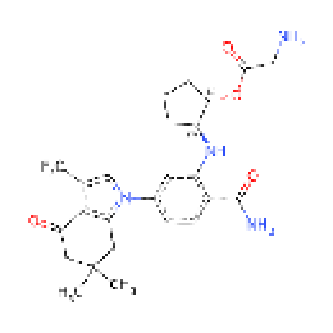 CC1(C)CC(=O)c2c(C(F)(F)F)cn(-c3ccc(C(N)=O)c(N[C@H]4CCC[C@@H]4OC(=O)CN)c3)c2C1